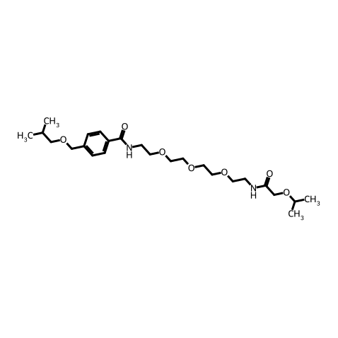 CC(C)COCc1ccc(C(=O)NCCOCCOCCOCCNC(=O)COC(C)C)cc1